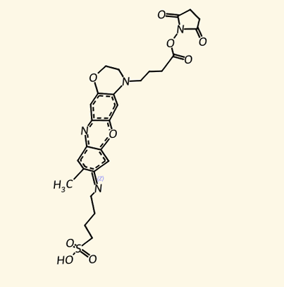 Cc1cc2nc3cc4c(cc3oc-2c/c1=N/CCCCS(=O)(=O)O)N(CCCC(=O)ON1C(=O)CCC1=O)CCO4